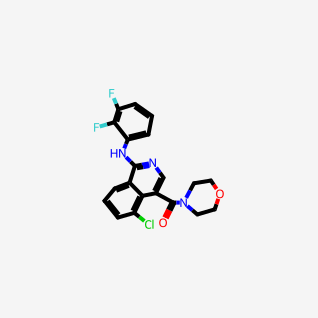 O=C(c1cnc(Nc2cccc(F)c2F)c2cccc(Cl)c12)N1CCOCC1